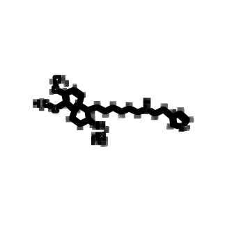 COc1ccc2c(c1OC)CCC(N)C2CCCCCCNCCc1ccsc1.Cl.Cl